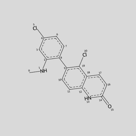 CNc1cc(Cl)ccc1-c1ccc2[nH]c(=O)ccc2c1Cl